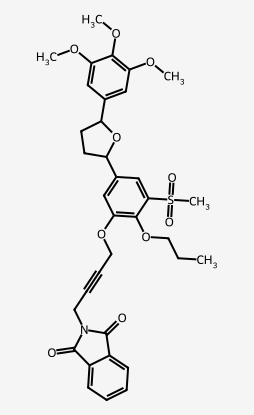 CCCOc1c(OCC#CCN2C(=O)c3ccccc3C2=O)cc(C2CCC(c3cc(OC)c(OC)c(OC)c3)O2)cc1S(C)(=O)=O